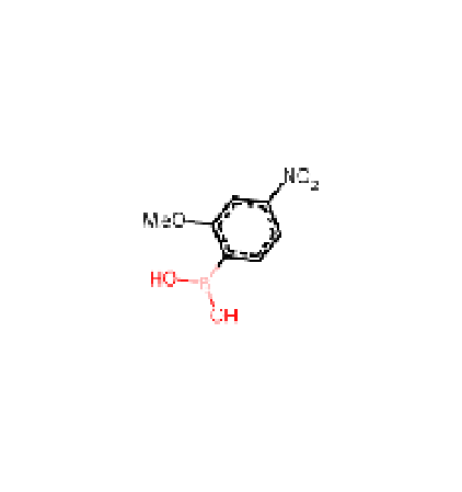 COc1cc([N+](=O)[O-])ccc1B(O)O